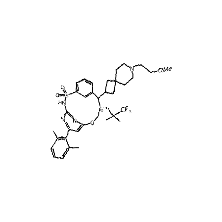 COCCN1CCC2(CC1)CC(C1c3cccc(c3)S(=O)(=O)Nc3nc(cc(-c4c(C)cccc4C)n3)OC[C@H]1CC(C)(C)C(F)(F)F)C2